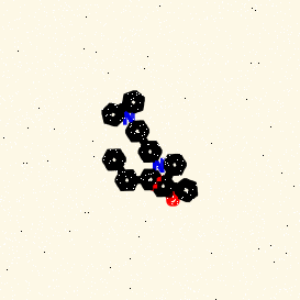 c1ccc(-c2cccc(-c3cccc(N(c4ccc(-c5ccc(-n6c7ccccc7c7ccccc76)cc5)cc4)c4ccccc4-c4cccc5oc6ccccc6c45)c3)c2)cc1